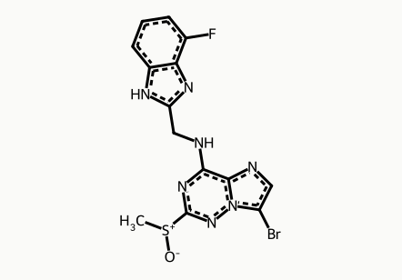 C[S+]([O-])c1nc(NCc2nc3c(F)cccc3[nH]2)c2ncc(Br)n2n1